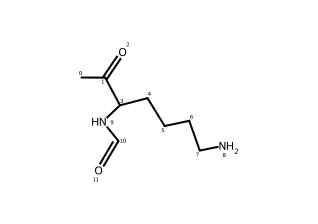 CC(=O)C(CCCCN)NC=O